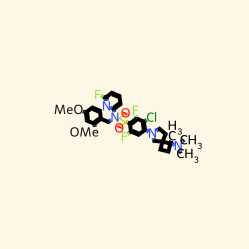 COc1ccc(CN(c2cccc(F)n2)S(=O)(=O)c2c(F)cc(N3CCC4(CCC4(C)N(C)C)C3)c(Cl)c2F)c(OC)c1